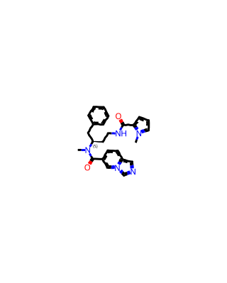 CN(C(=O)c1ccc2cncn2c1)[C@H](CCNC(=O)c1cccn1C)Cc1ccccc1